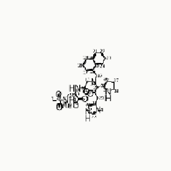 COC(=O)[C@H](CNS(C)(=O)=O)NC(=O)CN(Cc1cccc2ccccc12)C(C(=O)Cc1c[nH]cn1)[C@@H]1CCCN1